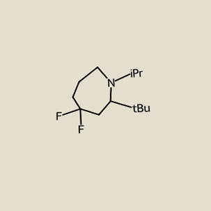 CC(C)N1CCCC(F)(F)CC1C(C)(C)C